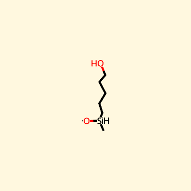 C[SiH]([O])CCCCCO